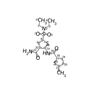 CCN(CC)S(=O)(=O)c1cc(C(N)=O)c(NC(=O)c2ccc(C)s2)s1